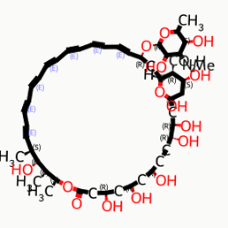 CNC1C(O)[C@H](O[C@H]2/C=C/C=C/C=C/C=C/C=C/C=C/C=C/[C@H](C)[C@@H](O)[C@@H](C)[C@H](C)OC(=O)C[C@H](O)C[C@H](O)C[C@H](O)CC[C@@H](O)[C@H](O)C[C@]3(O)C[C@H](O)[C@@H](C(=O)O)[C@H](C2)O3)OC(C)[C@H]1O